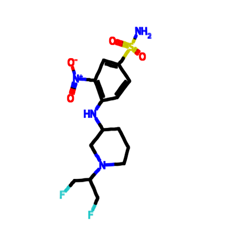 NS(=O)(=O)c1ccc(NC2CCCN(C(CF)CF)C2)c([N+](=O)[O-])c1